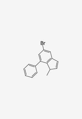 CC1C=Cc2cc(Br)cc(-c3ccccc3)c21